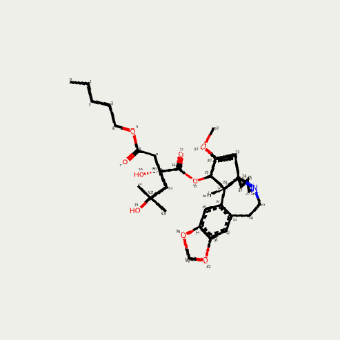 CCCCCOC(=O)C[C@](O)(CC(C)(C)O)C(=O)OC1C(OC)=CC23CCCN2CCc2cc4c(cc2[C@H]13)OCO4